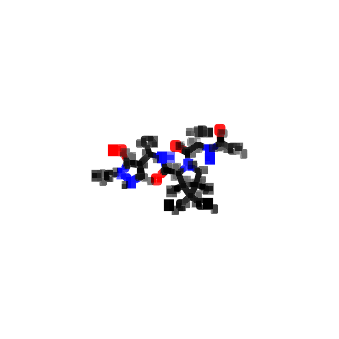 Cn1ncc(C(C#N)NC(=O)[C@@H]2[C@@H]3[C@H](CN2C(=O)[C@@H](NC(=O)C(F)(F)F)C(C)(C)C)C3(C)C)c1O